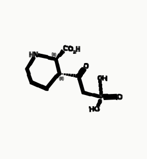 O=C(CP(=O)(O)O)[C@@H]1CCCN[C@H]1C(=O)O